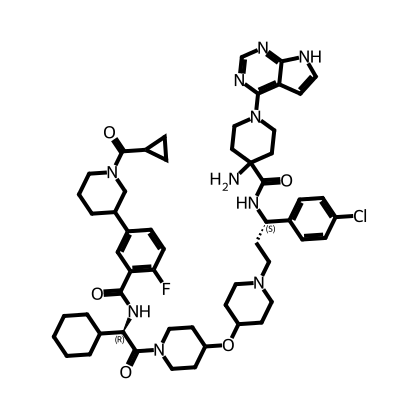 NC1(C(=O)N[C@@H](CCN2CCC(OC3CCN(C(=O)[C@H](NC(=O)c4cc(C5CCCN(C(=O)C6CC6)C5)ccc4F)C4CCCCC4)CC3)CC2)c2ccc(Cl)cc2)CCN(c2ncnc3[nH]ccc23)CC1